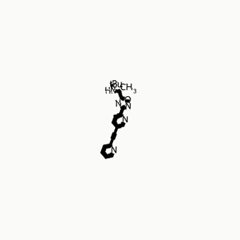 CC(NC(C)(C)C)c1nc(-c2ccc(C#Cc3ccccn3)cn2)no1